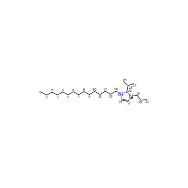 CCCCCCCCCCCCCCC[n+]1ccn(CCC)c1C(C)C